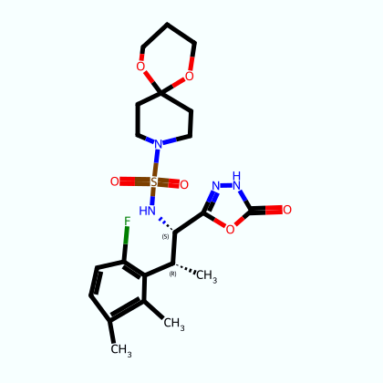 Cc1ccc(F)c([C@@H](C)[C@H](NS(=O)(=O)N2CCC3(CC2)OCCCO3)c2n[nH]c(=O)o2)c1C